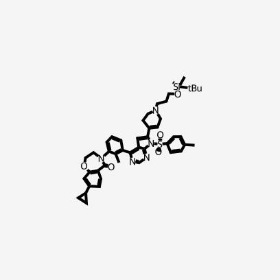 Cc1ccc(S(=O)(=O)n2c(C3=CCN(CCCO[Si](C)(C)C(C)(C)C)CC3)cc3c(-c4cccc(N5CCOc6cc(C7CC7)ccc6C5=O)c4C)ncnc32)cc1